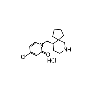 Cl.O=c1cc(Cl)ccn1C[C@@H]1CCNCC12CCCC2